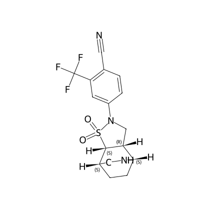 N#Cc1ccc(N2C[C@H]3[C@H]([C@H]4CC[C@@H]3NC4)S2(=O)=O)cc1C(F)(F)F